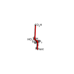 CCCC(C)C(=O)COCCOCCNC(=O)C(C)(C)NC(=O)CC[C@H](NC(=O)CCCCCCCCCCCCCCCCCCC(=O)O)C(=O)O